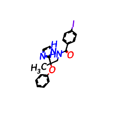 CC(CNC(=O)c1ccc(I)cc1)(Oc1ccccc1)c1ncc[nH]1